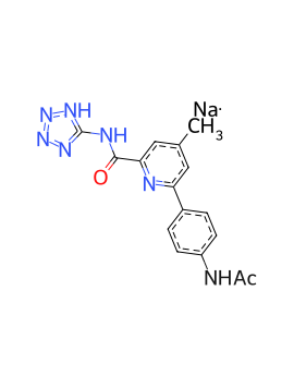 CC(=O)Nc1ccc(-c2cc(C)cc(C(=O)Nc3nnn[nH]3)n2)cc1.[Na]